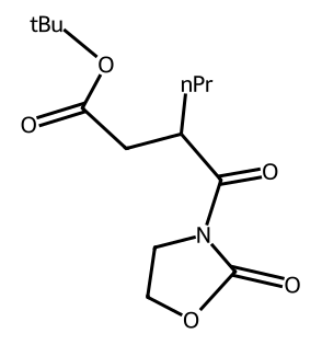 CCCC(CC(=O)OC(C)(C)C)C(=O)N1CCOC1=O